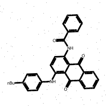 CCCCc1ccc(Nc2ccc(NC(=O)c3ccccc3)c3c2C(=O)c2ccccc2C3=O)cc1